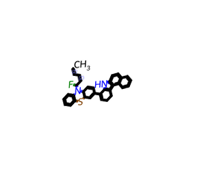 C/C=C\C=C/C(F)N1c2ccccc2SC2C=C(C3=CCCc4c3[nH]c3ccc5c(c43)C=C=C=C5)C=CC21